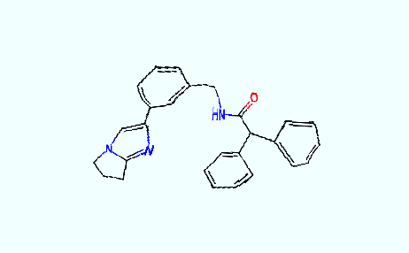 O=C(NCc1cccc(-c2cn3c(n2)CCC3)c1)C(c1ccccc1)c1ccccc1